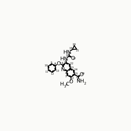 COc1cc2nc(Oc3ccccc3)c(NC(=O)NC3CC3)cc2cc1C(N)=O